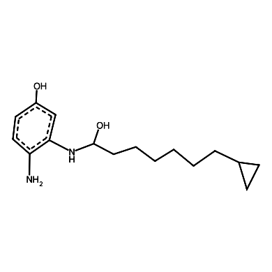 Nc1ccc(O)cc1NC(O)CCCCCCC1CC1